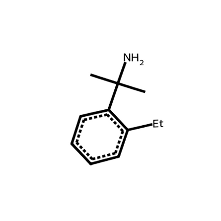 CCc1ccccc1C(C)(C)N